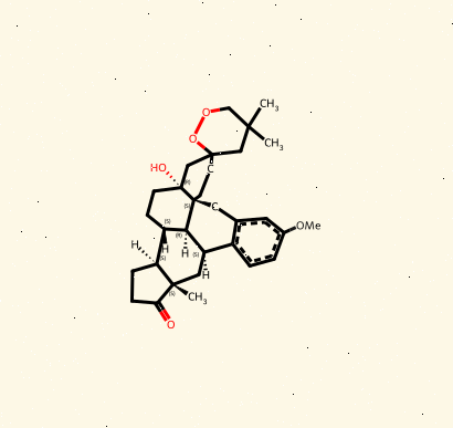 COc1ccc2c(c1)C[C@]13CCC4(CC(C)(C)COO4)C[C@]1(O)CC[C@@H]1[C@@H]3[C@@H]2C[C@]2(C)C(=O)CC[C@@H]12